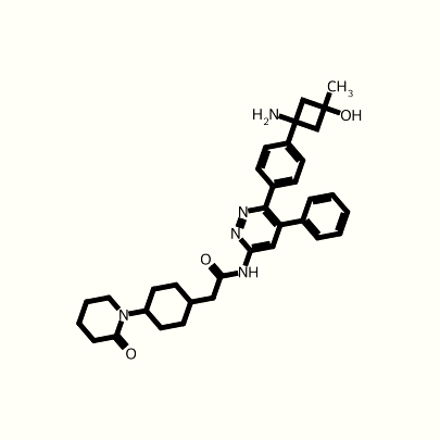 CC1(O)CC(N)(c2ccc(-c3nnc(NC(=O)CC4CCC(N5CCCCC5=O)CC4)cc3-c3ccccc3)cc2)C1